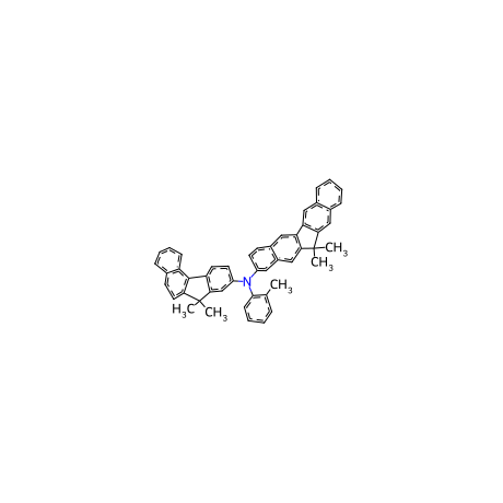 Cc1ccccc1N(c1ccc2c(c1)C(C)(C)c1ccc3ccccc3c1-2)c1ccc2cc3c(cc2c1)C(C)(C)c1cc2ccccc2cc1-3